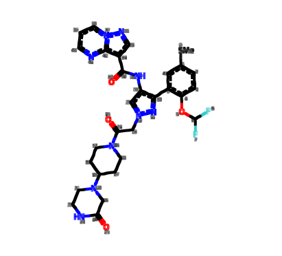 CSc1ccc(OC(F)F)c(-c2nn(CC(=O)N3CCC(N4CCNC(=O)C4)CC3)cc2NC(=O)c2cnn3cccnc23)c1